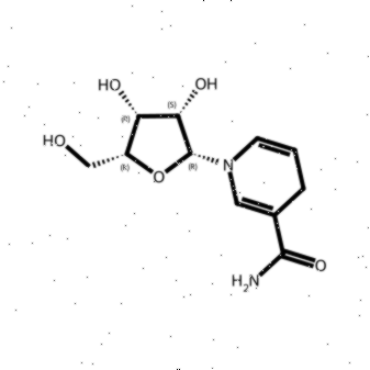 NC(=O)C1=CN([C@@H]2O[C@H](CO)[C@H](O)[C@@H]2O)C=CC1